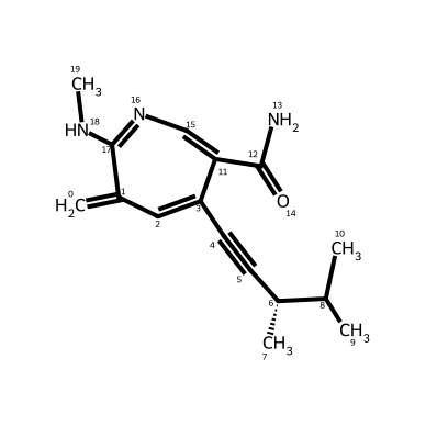 C=C1C=C(C#C[C@@H](C)C(C)C)C(C(N)=O)=CN=C1NC